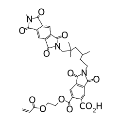 C=CC(=O)OCCOC(=O)c1cc2c(cc1C(=O)O)C(=O)N(CCC(C)CC(C)(C)Cn1c(=O)c3cc4c(=O)n(C)c(=O)c4cc3c1=O)C2=O